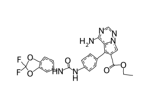 CCOC(=O)c1cn2ncnc(N)c2c1-c1ccc(NC(=O)Nc2ccc3c(c2)OC(F)(F)O3)cc1